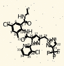 CCNC(=O)c1cc(Cl)cc(C)c1NC(=O)c1cc(Cn2ncc(C(F)(F)F)n2)nn1-c1ncccc1Cl